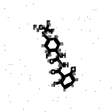 O=C(NC(=O)c1c(F)cccc1Cl)Nc1ccc(SC(F)(F)C(F)(F)F)cc1F